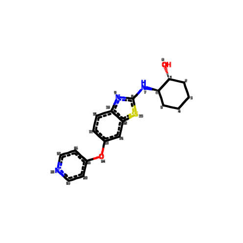 O[C@@H]1CCCC[C@H]1Nc1nc2ccc(Oc3ccncc3)cc2s1